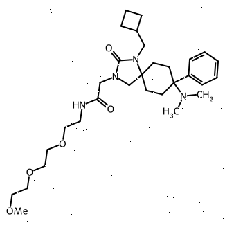 COCCOCCOCCNC(=O)CN1CC2(CCC(c3ccccc3)(N(C)C)CC2)N(CC2CCC2)C1=O